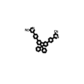 N#Cc1cncc(-c2ccc(-c3ccc4c(c3)-c3cc(-c5ccc(-c6cncc(C#N)c6)cc5)ccc3C4(c3ccccc3)c3ccccc3)cc2)c1